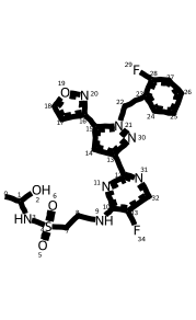 CC(O)NS(=O)(=O)CCNc1nc(-c2cc(-c3ccon3)n(Cc3ccccc3F)n2)ncc1F